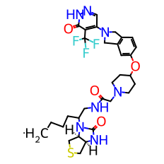 [CH2]CCCC(CNC(=O)CN1CCC(Oc2ccc3c(c2)CN(c2cn[nH]c(=O)c2C(F)(F)F)C3)CC1)N1C(=O)N[C@H]2CSC[C@H]21